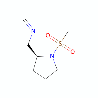 C=NC[C@@H]1CCCN1S(C)(=O)=O